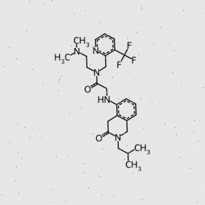 CC(C)CN1Cc2cccc(NCC(=O)N(CCN(C)C)Cc3ncccc3C(F)(F)F)c2CC1=O